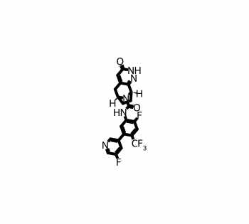 O=C(Nc1cc(-c2cncc(F)c2)c(C(F)(F)F)cc1F)N1[C@H]2CC[C@@H]1c1n[nH]c(=O)cc1C2